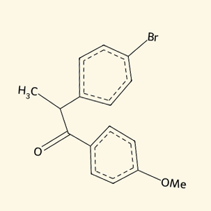 COc1ccc(C(=O)C(C)c2ccc(Br)cc2)cc1